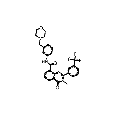 Cn1c(-c2cccc(C(F)(F)F)c2)nc2c(C(=O)Nc3cccc(CN4CCOCC4)c3)cccc2c1=O